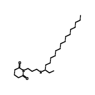 CCCCCCCCCCCCCCCC(CC)SCCCN1C(=O)CCCC1=O